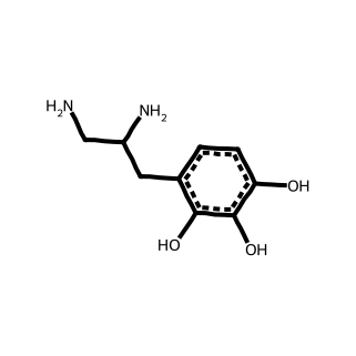 NCC(N)Cc1ccc(O)c(O)c1O